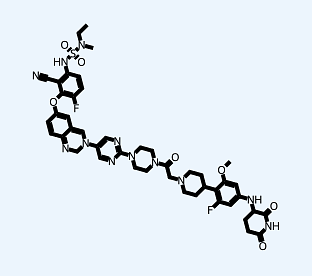 CCN(C)S(=O)(=O)Nc1ccc(F)c(Oc2ccc3c(c2)=CN(c2cnc(N4CCN(C(=O)CN5CCC(c6c(F)cc(NC7CCC(=O)NC7=O)cc6OC)CC5)CC4)nc2)CN=3)c1C#N